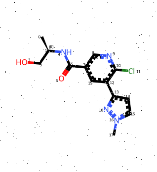 C[C@H](CO)NC(=O)c1cnc(Cl)c(-c2ccn(C)n2)c1